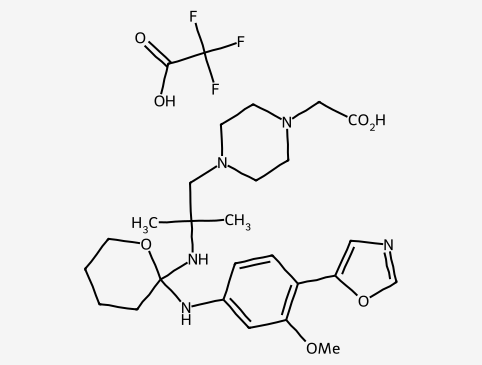 COc1cc(NC2(NC(C)(C)CN3CCN(CC(=O)O)CC3)CCCCO2)ccc1-c1cnco1.O=C(O)C(F)(F)F